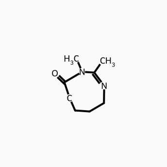 C/C1=N/CCCCC(=O)N1C